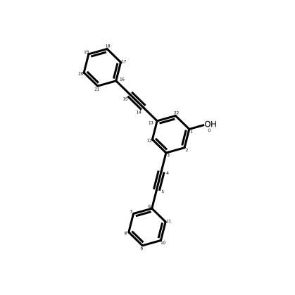 Oc1cc(C#Cc2ccccc2)cc(C#Cc2ccccc2)c1